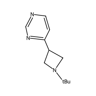 CC(C)(C)N1CC(c2ccncn2)C1